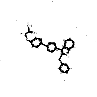 C[C@@H](Oc1ccc(-c2ccc(-c3c(Cc4ccccc4)oc4ccccc34)cc2)cc1)C(=O)O